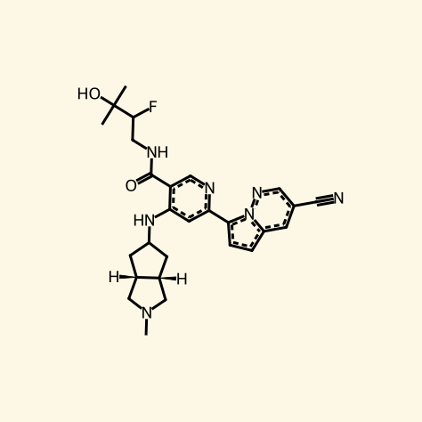 CN1C[C@H]2CC(Nc3cc(-c4ccc5cc(C#N)cnn45)ncc3C(=O)NCC(F)C(C)(C)O)C[C@H]2C1